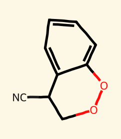 N#CC1COOc2ccccc21